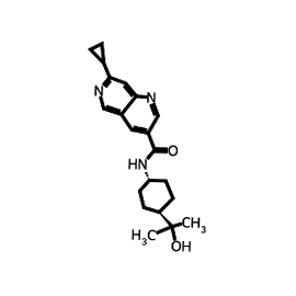 CC(C)(O)[C@H]1CC[C@H](NC(=O)c2cnc3cc(C4CC4)ncc3c2)CC1